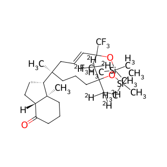 [2H]C([2H])([2H])C(CCC[C@](C)(CC=CC(O[Si](C)(C)C)(C(F)(F)F)C(F)(F)F)[C@H]1CC[C@H]2C(=O)CCC[C@]12C)(O[Si](C)(C)C)C([2H])([2H])[2H]